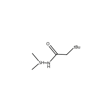 C[SH](C)NC(=O)CC(C)(C)C